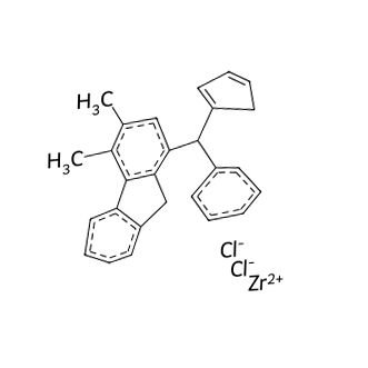 Cc1cc(C(C2=CC=CC2)c2ccccc2)c2c(c1C)-c1ccccc1C2.[Cl-].[Cl-].[Zr+2]